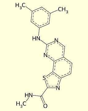 CNC(=O)c1nc2ccc3cnc(Nc4cc(C)cc(C)c4)nc3c2s1